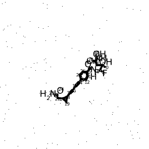 CC(O)(C(F)F)C(NC(=O)c1ccc(C#CC#CC2CC2CC(N)=O)cc1)C(=O)NO